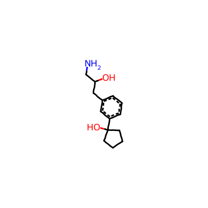 NCC(O)Cc1cccc(C2(O)CCCC2)c1